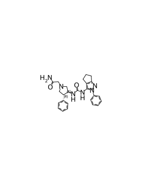 NC(=O)CN1C[C@@H](NC(=O)Nc2c3c(nn2-c2ccccc2)CCC3)[C@H](c2ccccc2)C1